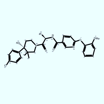 COc1ccccc1Oc1ccc(C(=O)N[C@@H](C(=O)N2CC[C@](O)(c3ccc(Cl)cc3)C(C)(C)C2)C(C)C)cn1